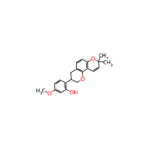 COc1ccc(C2COc3c(ccc4c3C=CC(C)(C)O4)C2)c(O)c1